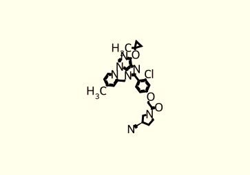 Cc1ccnc(Cn2c(-c3ccc(OCC(=O)N4CC[C@@H](C#N)C4)cc3Cl)nc3c(OC4(C)CC4)ncnc32)c1